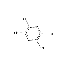 N#Cc1cc(Cl)c(Cl)cc1C#N